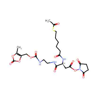 CC(=O)SCCCCCC(=O)N[C@@H](CC(=O)ON1C(=O)CCC1=O)C(=O)NCCNC(=O)OCc1oc(=O)oc1C